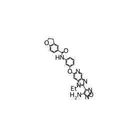 CCn1c(-c2nonc2N)nc2cnc(Oc3cccc(NC(=O)c4ccc5c(c4)CCO5)c3)cc21